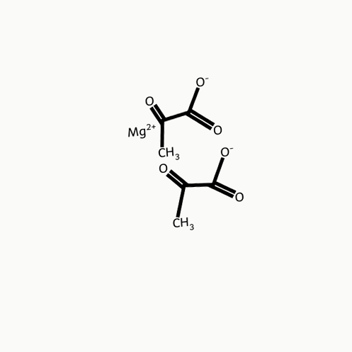 CC(=O)C(=O)[O-].CC(=O)C(=O)[O-].[Mg+2]